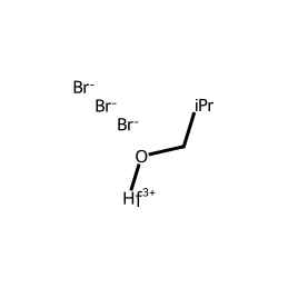 CC(C)C[O][Hf+3].[Br-].[Br-].[Br-]